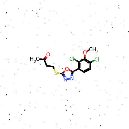 COc1c(Cl)ccc(-c2nnc(SCCC(C)=O)o2)c1Cl